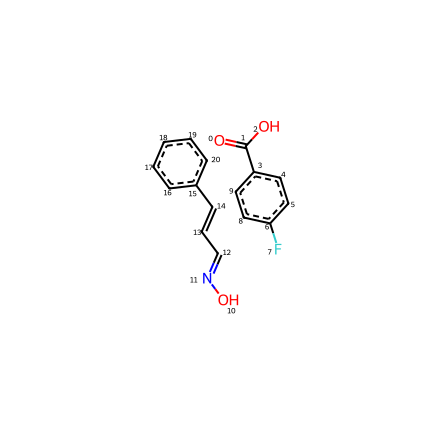 O=C(O)c1ccc(F)cc1.ON=CC=Cc1ccccc1